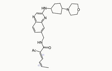 C/C=C\C=C(/C(C)=O)C(=O)NCc1ccc2ncc(NC3CCC(N4CCOCC4)CC3)nc2c1